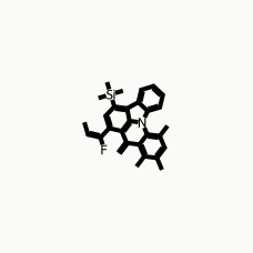 C=c1c2c(C)c(C)cc(C)c2n2c3ccccc3c3c([Si](C)(C)C)cc(/C(F)=C\C)c1c32